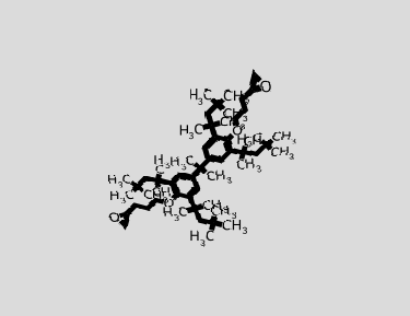 CC(C)(C)CC(C)(C)c1cc(C(C)(C)c2cc(C(C)(C)CC(C)(C)C)c(OCCCC3CO3)c(C(C)(C)CC(C)(C)C)c2)cc(C(C)(C)CC(C)(C)C)c1OCCCC1CO1